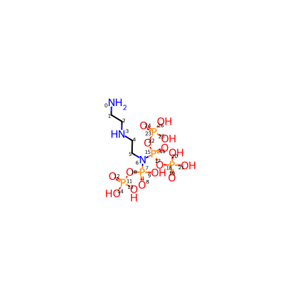 NCCNCCN(P(=O)(O)OP(=O)(O)O)P(=O)(OP(=O)(O)O)OP(=O)(O)O